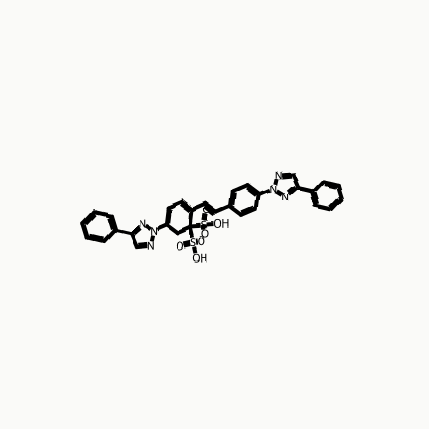 O=S(=O)(O)C1(S(=O)(=O)O)CC(n2ncc(-c3ccccc3)n2)=CC=C1C=Cc1ccc(-n2ncc(-c3ccccc3)n2)cc1